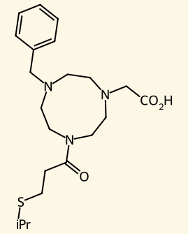 CC(C)SCCC(=O)N1CCN(CC(=O)O)CCN(Cc2ccccc2)CC1